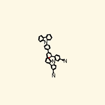 N#Cc1ccc(C2C=C(c3ccc(-n4c5ccccc5c5ccccc54)cc3)C=CC2)c(-n2c3ccccc3c3cc(C#N)ccc32)c1